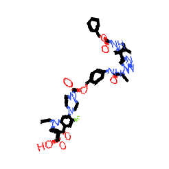 CCN1C=C(C(=O)O)C(=O)C2C=C(F)C(N3CCN(C(=O)OCc4ccc(NC(=O)C(C)n5cc(C(C)(NC(=O)OCc6ccccc6)C(C)C)nn5)cc4)CC3)=CC21